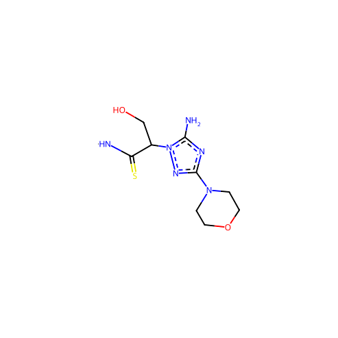 [NH]C(=S)C(CO)n1nc(N2CCOCC2)nc1N